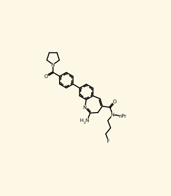 CCCN(CCCF)C(=O)C1=Cc2ccc(-c3ccc(C(=O)N4CCCC4)cc3)cc2N=C(N)C1